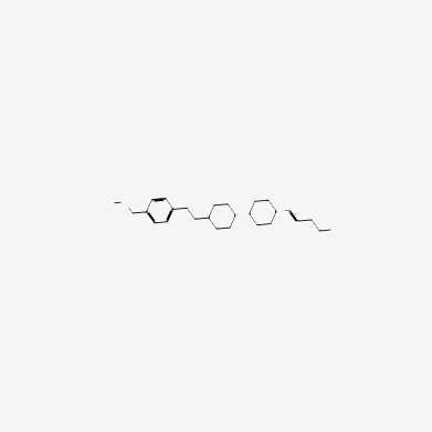 CCCOCc1ccc(CCC2CCC([C@H]3CC[C@H](/C=C/CCF)CC3)CC2)cc1